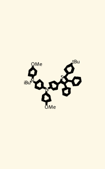 CCC(C)N(c1ccc(OC)cc1)c1ccc(N(c2ccc(OC)cc2)c2ccc(-c3sc(-c4ccc(C(C)(C)C)cc4)c(-c4ccccc4)c3-c3ccccc3)cc2)cc1